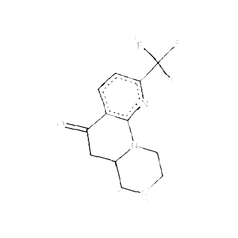 O=C1CC2CNCCN2c2nc(C(F)(F)F)ccc21